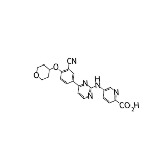 N#Cc1cc(-c2ccnc(Nc3ccc(C(=O)O)nc3)n2)ccc1OC1CCOCC1